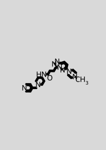 CN1CCN(c2ccc3nnc(CCC(=O)NC4CCN(Cc5ccncc5)CC4)n3n2)CC1